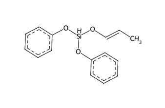 CC=CO[SiH](Oc1ccccc1)Oc1ccccc1